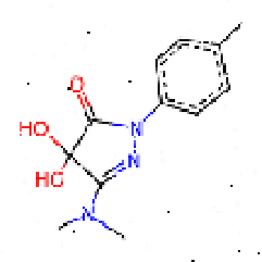 Cc1ccc(N2N=C(N(C)C)C(O)(O)C2=O)cc1